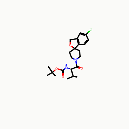 CC(C)[C@@H](NC(=O)OC(C)(C)C)C(=O)N1CCC2(CC1)OCc1cc(Cl)ccc12